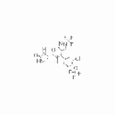 O=C1NC[C@@H](C(=O)NC(c2ccc(OC(F)(F)F)c(Cl)c2)c2cnn(C(F)(F)F)c2)N1